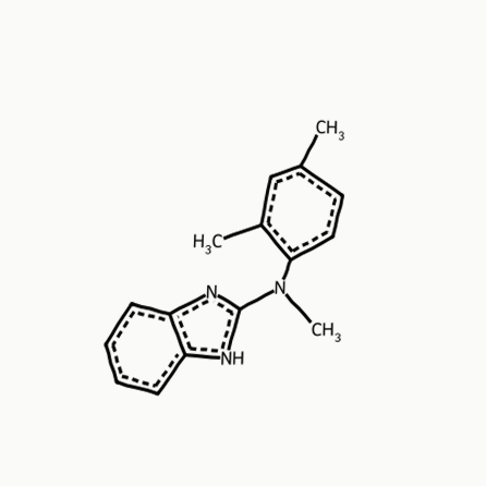 Cc1ccc(N(C)c2nc3ccccc3[nH]2)c(C)c1